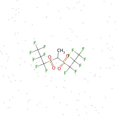 CC(S(=O)(=O)C(F)(F)C(F)(F)C(F)(F)F)S(=O)(=O)C(F)(F)C(F)(F)C(F)(F)F